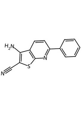 N#Cc1sc2nc(-c3ccccc3)ccc2c1N